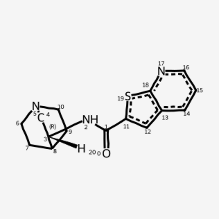 O=C(N[C@H]1CN2CCC1CC2)c1cc2cccnc2s1